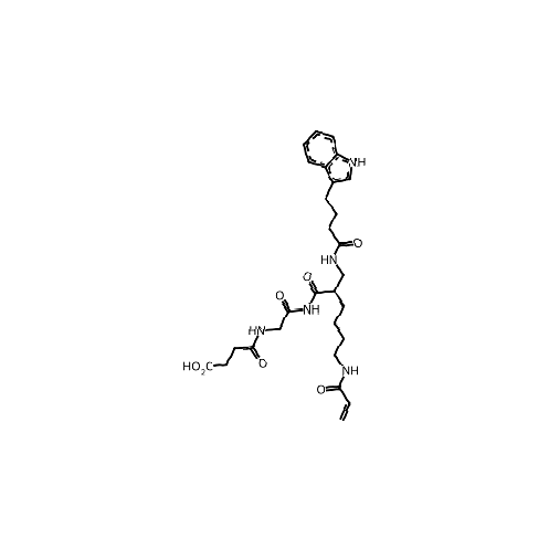 C=CC(=O)NCCCC[C@H](CNC(=O)CCCc1c[nH]c2ccccc12)C(=O)NC(=O)CNC(=O)CCC(=O)O